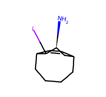 N[C@H]1CC2C=CC(CCCC2)C1I